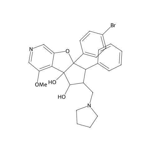 COc1cncc2c1C1(O)C(O)C(CN3CCCC3)C(c3ccccc3)C1(c1ccc(Br)cc1)O2